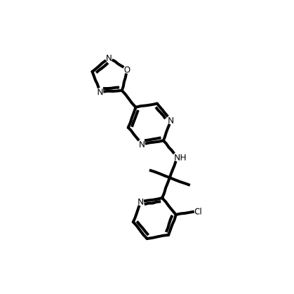 CC(C)(Nc1ncc(-c2ncno2)cn1)c1ncccc1Cl